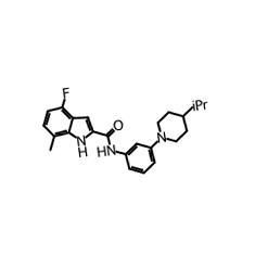 Cc1ccc(F)c2cc(C(=O)Nc3cccc(N4CCC(C(C)C)CC4)c3)[nH]c12